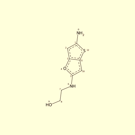 Nc1cc2oc(NCCO)cc2s1